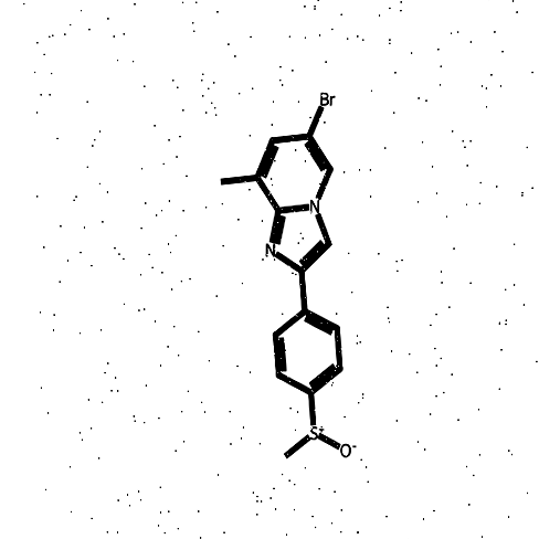 Cc1cc(Br)cn2cc(-c3ccc([S+](C)[O-])cc3)nc12